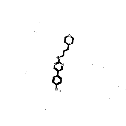 Bc1ccc(-c2cnc(NCCCC3CCOCC3)nc2)cc1